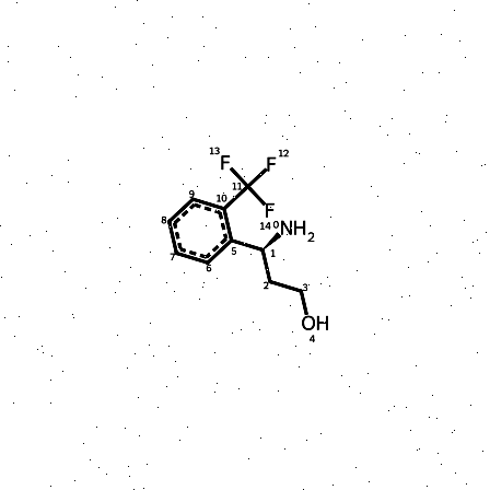 N[C@@H](CCO)c1ccccc1C(F)(F)F